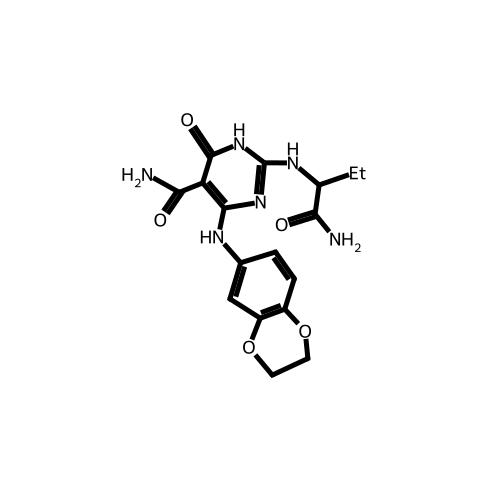 CCC(Nc1nc(Nc2ccc3c(c2)OCCO3)c(C(N)=O)c(=O)[nH]1)C(N)=O